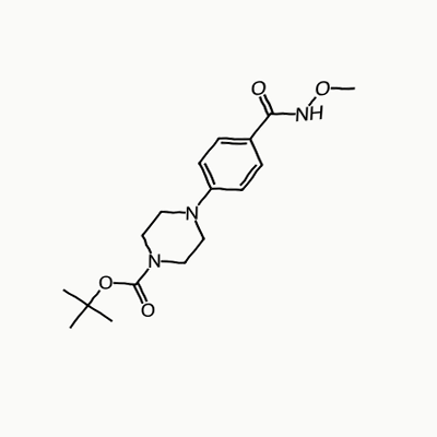 CONC(=O)c1ccc(N2CCN(C(=O)OC(C)(C)C)CC2)cc1